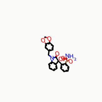 NS(=O)(=O)c1ccccc1C1(O)C(=O)N(Cc2ccc3c(c2)OCO3)c2ccccc21